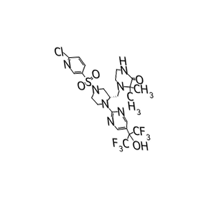 CC1(C)C(=O)NCCN1C[C@H]1CN(S(=O)(=O)c2ccc(Cl)nc2)CCN1c1ncc(C(O)(C(F)(F)F)C(F)(F)F)cn1